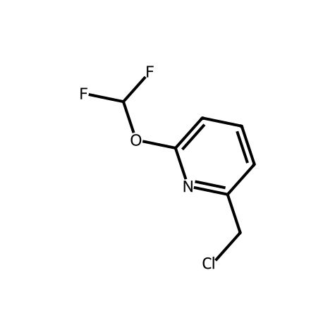 FC(F)Oc1cccc(CCl)n1